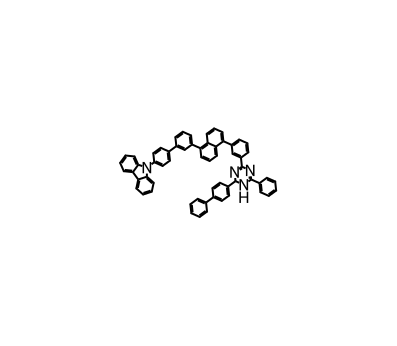 c1ccc(C2=NC(c3cccc(-c4cccc5c(-c6cccc(-c7ccc(-n8c9ccccc9c9ccccc98)cc7)c6)cccc45)c3)=NC(c3ccc(-c4ccccc4)cc3)N2)cc1